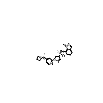 C[C@H](c1ccnc(-n2cc(S(=O)(=O)Nc3cccc4cnn(C)c34)cn2)c1)N1CCC1